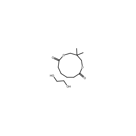 CC1(C)COC(=O)CCCCC(=O)OC1.OCCO